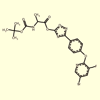 CC(NC(=O)OC(C)(C)C)C(=O)Oc1nc(-c2ccc(Oc3ncc(Br)cc3F)cc2)no1